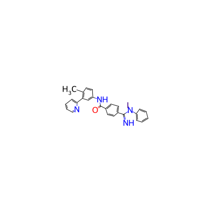 Cc1ccc(NC(=O)c2ccc(C(=N)N(I)c3ccccc3)cc2)cc1-c1ccccn1